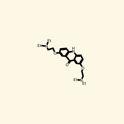 CCN(CC)CCOc1ccc2[nH]c3ccc(OCCN(CC)CC)cc3c(=O)c2c1